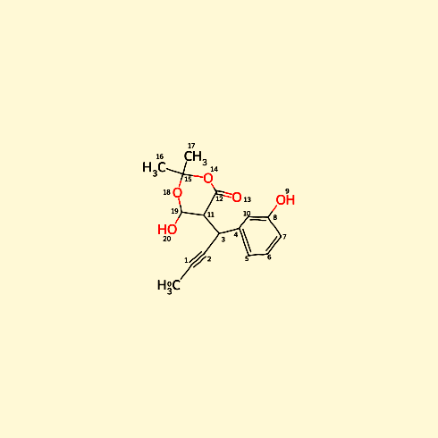 CC#CC(c1cccc(O)c1)C1C(=O)OC(C)(C)OC1O